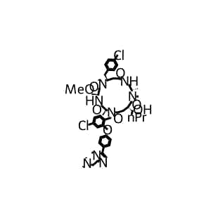 CCCC(O)[C@@H]1CC(=O)N(Cc2ccc(Cl)cc2Oc2ccc(-c3cnc(CN(C)C)n3C)cc2)[C@@H](C)C(=O)N[C@@H](COC)C(=O)N(C)[C@@H](Cc2ccc(Cl)cc2)CC(=O)NC[C@H](C)N(C)C1=O